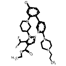 CCCN1CCN(c2ccc(-c3ccc(Cl)cc3N3CCCC(n4ncc(C(=O)OCC)c4C(F)F)C3)cn2)CC1